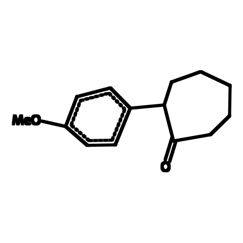 COc1ccc(C2CCCCCC2=O)cc1